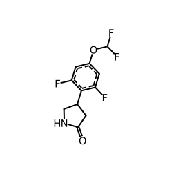 O=C1CC(c2c(F)cc(OC(F)F)cc2F)CN1